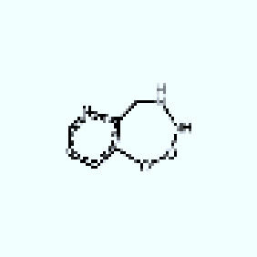 c1ncc2c(n1)CNNOO2